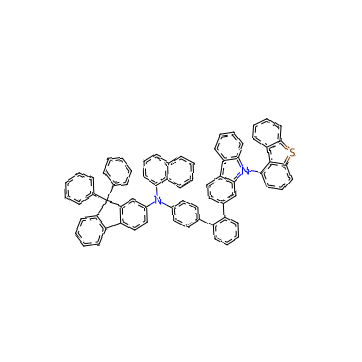 c1ccc(C2(c3ccccc3)c3ccccc3-c3ccc(N(c4ccc(-c5ccccc5-c5ccc6c7ccccc7n(-c7cccc8sc9ccccc9c78)c6c5)cc4)c4cccc5ccccc45)cc32)cc1